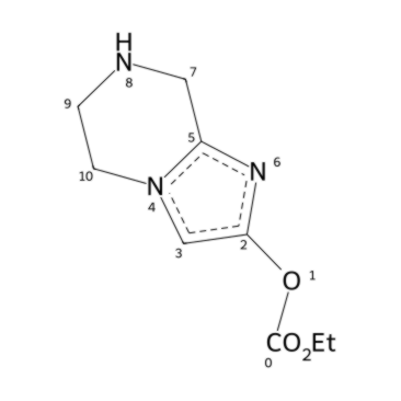 CCOC(=O)Oc1cn2c(n1)CNCC2